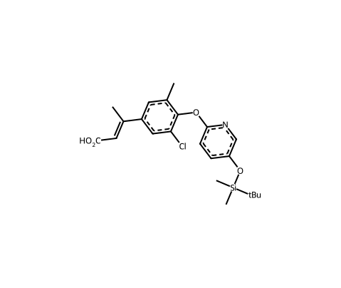 CC(=CC(=O)O)c1cc(C)c(Oc2ccc(O[Si](C)(C)C(C)(C)C)cn2)c(Cl)c1